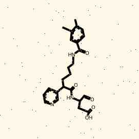 Cc1ccc(C(=O)NCCCCC(C(=O)NC(C=O)CC(=O)O)c2cccnc2)cc1C